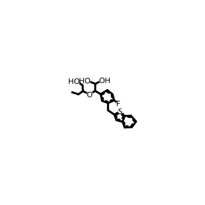 CCC(CO)OC(c1ccc(F)c(Cc2cc3ccccc3s2)c1)C(O)O